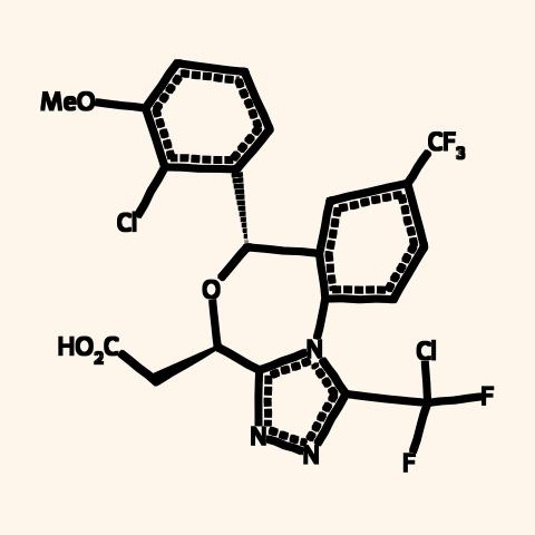 COc1cccc([C@H]2O[C@H](CC(=O)O)c3nnc(C(F)(F)Cl)n3-c3ccc(C(F)(F)F)cc32)c1Cl